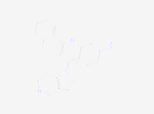 CNc1ccc2c(-n3ccc4cnccc43)c(F)c(-c3ccccc3F)nc2c1